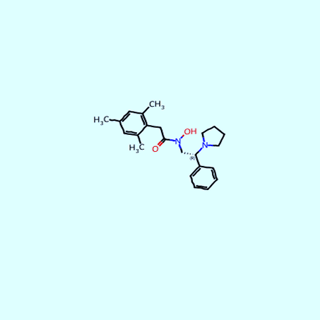 Cc1cc(C)c(CC(=O)N(O)C[C@@H](c2ccccc2)N2CCCC2)c(C)c1